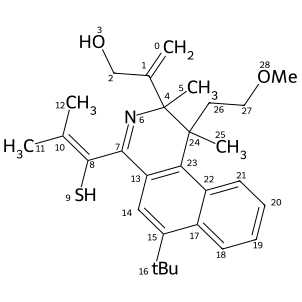 C=C(CO)C1(C)N=C(C(S)=C(C)C)c2cc(C(C)(C)C)c3ccccc3c2C1(C)CCOC